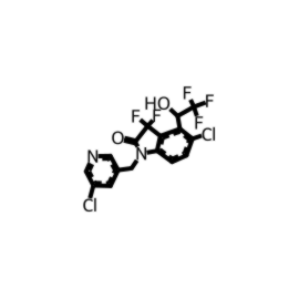 O=C1N(Cc2cncc(Cl)c2)c2ccc(Cl)c(C(O)C(F)(F)F)c2C1(F)F